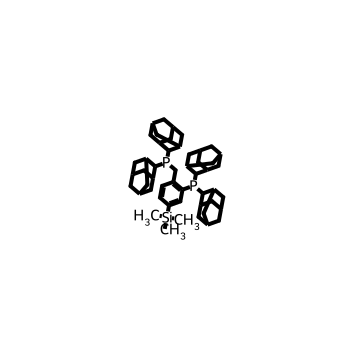 C[Si](C)(C)c1ccc(CP(C2C3CC4CC(C3)CC2C4)C2C3CC4CC(C3)CC2C4)c(P(C2C3CC4CC(C3)CC2C4)C2C3CC4CC(C3)CC2C4)c1